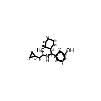 Oc1cccc(C(NCCC2CC2)C2CCCCC2O)c1